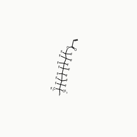 C=CC(=O)OC(F)(F)C(F)(F)C(F)(F)C(F)(F)C(F)(F)C(F)(F)C(F)(F)C(F)(C(F)(F)F)C(F)(F)F